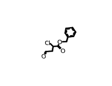 O=CCC(Cl)C(=O)OCc1ccccc1